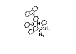 CC1(C)c2ccccc2N2c3ccc(-n4c5ccccc5c5ccccc54)cc3B(c3ccccc3)c3c2c1cc1ccccc31